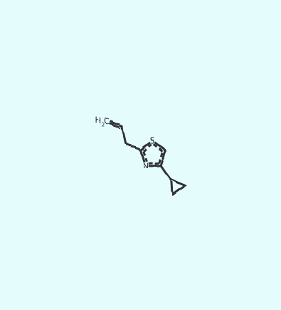 C=CCc1nc(C2CC2)cs1